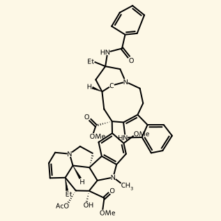 CCC1(NC(=O)c2ccccc2)C[C@@H]2CN(CCc3c([nH]c4ccccc34)[C@@](C(=O)OC)(c3cc4c(cc3OC)N(C)C3[C@]45CCN4CC=C[C@@](CC)([C@@H](OC(C)=O)[C@]3(O)C(=O)OC)[C@H]45)C2)C1